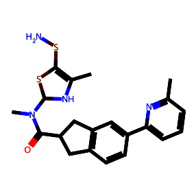 CC1=C(SN)SC(N(C)C(=O)C2Cc3ccc(-c4cccc(C)n4)cc3C2)N1